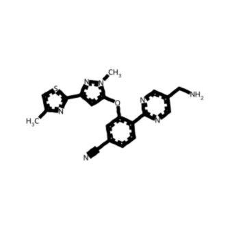 Cc1csc(-c2cc(Oc3cc(C#N)ccc3-c3ncc(CN)cn3)n(C)n2)n1